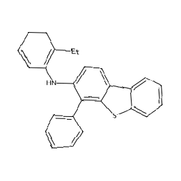 CCC1=C(Nc2ccc3c(sc4ccccc43)c2-c2ccccc2)C=CCC1